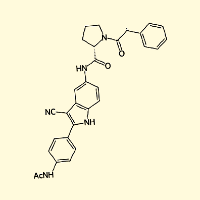 CC(=O)Nc1ccc(-c2[nH]c3ccc(NC(=O)[C@@H]4CCCN4C(=O)[CH]c4ccccc4)cc3c2C#N)cc1